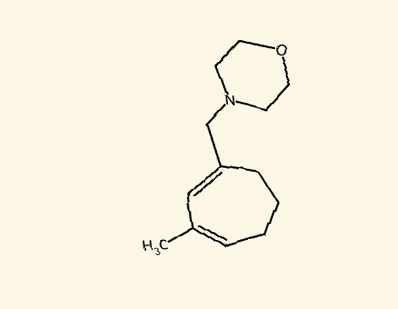 CC1=CCCCC(CN2CCOCC2)=C1